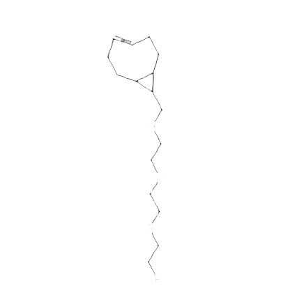 FCCOCCOCCOCC1C2CC/C=C/CCC21